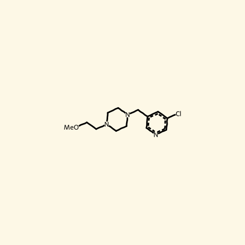 COCCN1CCN(Cc2cncc(Cl)c2)CC1